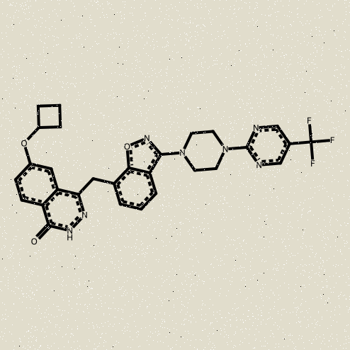 O=c1[nH]nc(Cc2cccc3c(N4CCN(c5ncc(C(F)(F)F)cn5)CC4)noc23)c2cc(OC3CCC3)ccc12